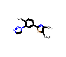 Cc1nc(-c2ccc(OCC(C)C)c(-n3ccnn3)c2)sc1C(=O)O